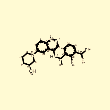 C[C@@H](Nc1cnnc2ccc(N3CCC[C@H](O)C3)cc12)c1cccc(C(F)F)c1F